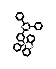 c1ccc(-c2nc(-c3ccccc3)nc(-c3cccc([Si]4(c5ccccc5)c5ccccc5Oc5ccccc54)c3)n2)cc1